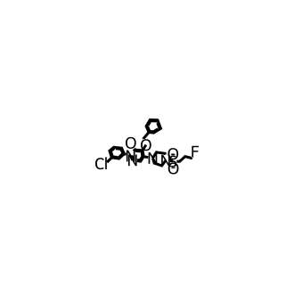 O=c1c(OCc2ccccc2)c(N2CCN(S(=O)(=O)CCCF)CC2)cnn1-c1cccc(Cl)c1